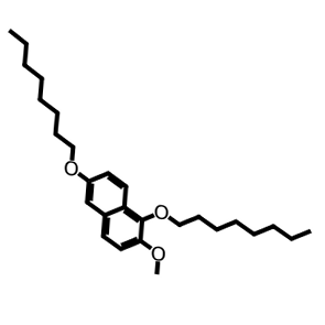 CCCCCCCCOc1ccc2c(OCCCCCCCC)c(OC)ccc2c1